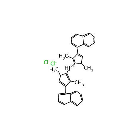 CC1=[C]([Hf+2][C]2=C(C)C(c3cccc4ccccc34)=CC2C)C(C)C=C1c1cccc2ccccc12.[Cl-].[Cl-]